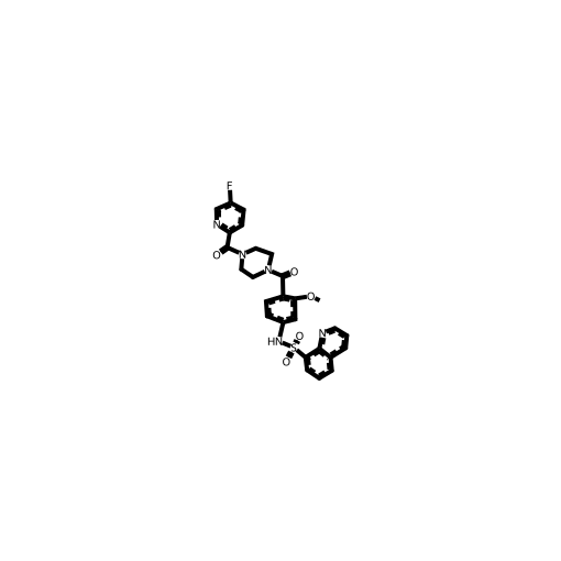 COc1cc(NS(=O)(=O)c2cccc3cccnc23)ccc1C(=O)N1CCN(C(=O)c2ccc(F)cn2)CC1